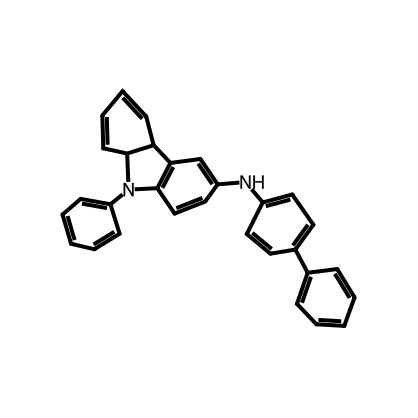 C1=CC2c3cc(Nc4ccc(-c5ccccc5)cc4)ccc3N(c3ccccc3)C2C=C1